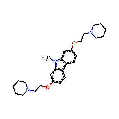 Cn1c2cc(OCCN3CCCCC3)ccc2c2ccc(OCCN3CCCCC3)cc21